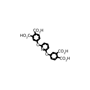 O=C(O)c1ccc(Oc2cccc(Oc3ccc(C(=O)O)c(C(=O)O)c3)n2)cc1C(=O)O